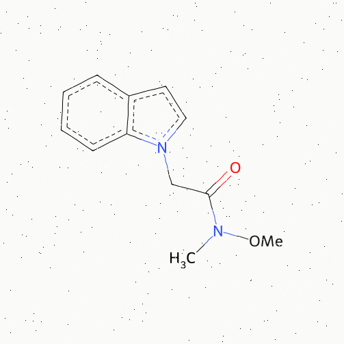 CON(C)C(=O)Cn1ccc2ccccc21